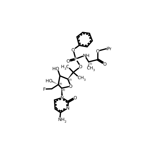 CC(C)OC(=O)[C@H](C)NP(=O)(Oc1ccccc1)OC(C)(C)[C@H]1O[C@@H](n2ccc(N)nc2=O)[C@@](O)(CF)C1O